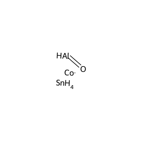 [Co].[O]=[AlH].[SnH4]